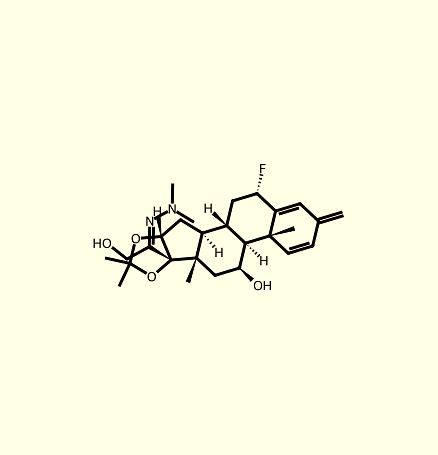 C=C1C=C[C@@]2(C)C(=C1)[C@@H](F)C[C@@H]1[C@@H]2[C@@H](O)C[C@@]2(C)[C@H]1C[C@H]1OC(C)(C)O[C@]12/C(CO)=N\N(C)C